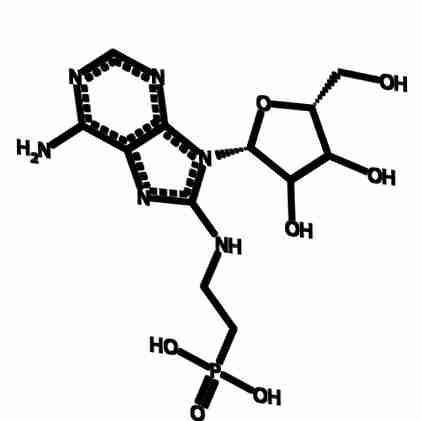 Nc1ncnc2c1nc(NCCP(=O)(O)O)n2[C@@H]1O[C@H](CO)C(O)C1O